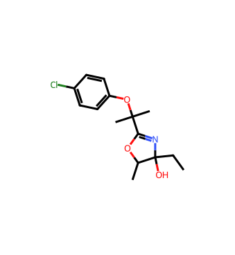 CCC1(O)N=C(C(C)(C)Oc2ccc(Cl)cc2)OC1C